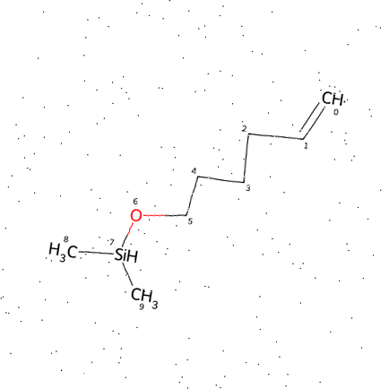 [CH]=CCCCCO[SiH](C)C